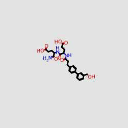 NC(=O)C(CCC(=O)O)NC(=O)C(CCC(=O)O)NC(=O)CCc1ccc(-c2cccc(CO)c2)cc1